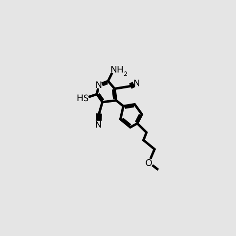 COCCCc1ccc(-c2c(C#N)c(N)nc(S)c2C#N)cc1